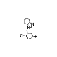 Fc1ccc(Cl)c(Cn2cnc3ccccc32)c1